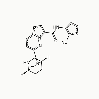 N#Cc1sccc1NC(=O)c1ccc2ccc(N3C[C@@H]4CC[C@H]3CN4)nn12